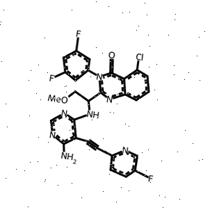 COCC(Nc1ncnc(N)c1C#Cc1ccc(F)cn1)c1nc2cccc(Cl)c2c(=O)n1-c1cc(F)cc(F)c1